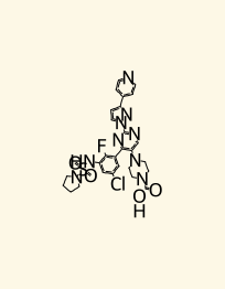 O=C(O)N1CCN(c2cnc(-n3ccc(-c4ccncc4)n3)nc2-c2cc(Cl)cc(NS(=O)(=O)N3CCCC3)c2F)CC1